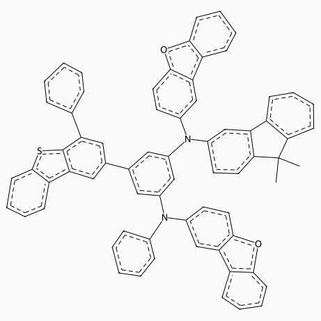 CC1(C)c2ccccc2-c2cc(N(c3cc(-c4cc(-c5ccccc5)c5sc6ccccc6c5c4)cc(N(c4ccccc4)c4ccc5oc6ccccc6c5c4)c3)c3ccc4oc5ccccc5c4c3)ccc21